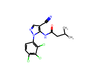 CC(C)CC(=O)Nc1c(C#N)cnn1-c1ccc(Cl)c(Cl)c1Cl